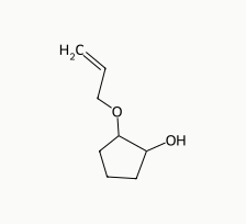 C=CCOC1CCCC1O